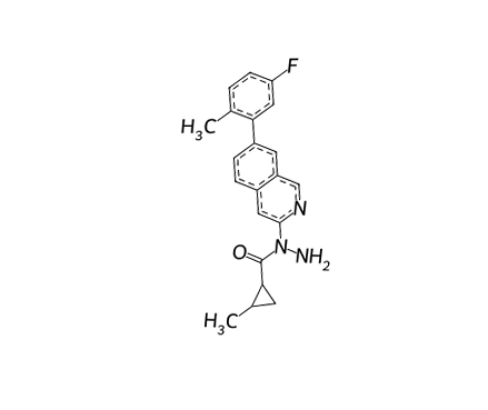 Cc1ccc(F)cc1-c1ccc2cc(N(N)C(=O)C3CC3C)ncc2c1